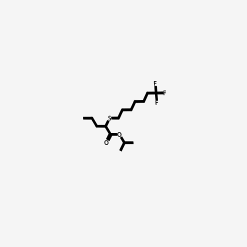 CCCC(SCCCCCCC(F)(F)F)C(=O)OC(C)C